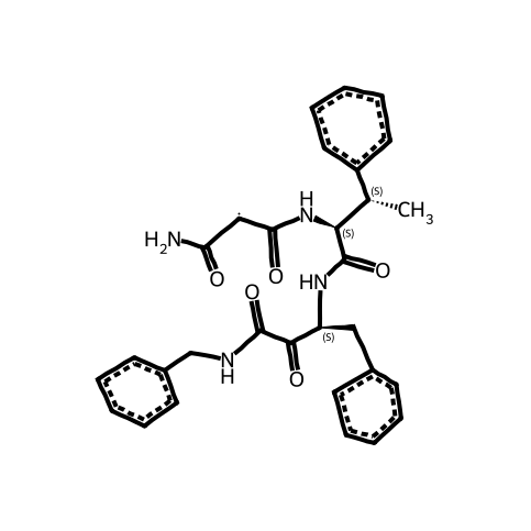 C[C@@H](c1ccccc1)[C@H](NC(=O)[CH]C(N)=O)C(=O)N[C@@H](Cc1ccccc1)C(=O)C(=O)NCc1ccccc1